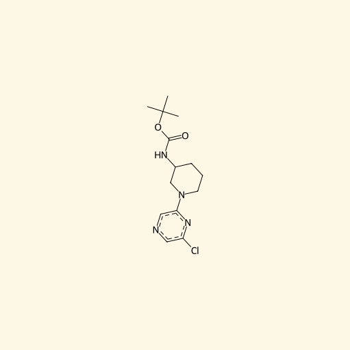 CC(C)(C)OC(=O)NC1CCCN(c2cncc(Cl)n2)C1